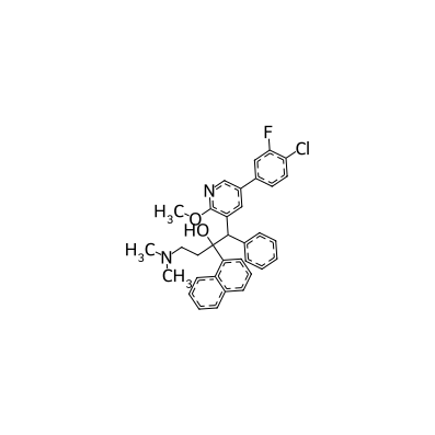 COc1ncc(-c2ccc(Cl)c(F)c2)cc1C(c1ccccc1)C(O)(CCN(C)C)c1cccc2ccccc12